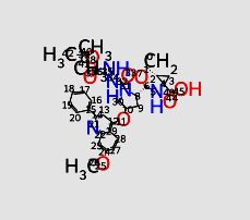 C=C[C@@H]1CC1(NC(=O)[C@@H]1C[C@@H](Oc2cc(-c3ccccc3)nc3cc(OC)ccc23)CN1C(=O)NNC(=O)OC(C)(C)C)C(=O)O